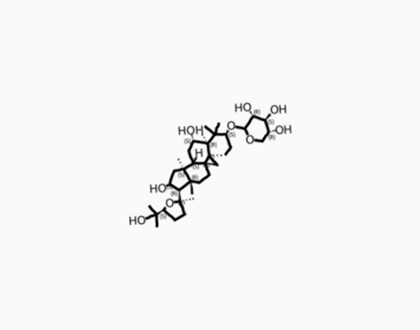 CC(C)(O)[C@@H]1CC[C@](C)([C@H]2[C@@H](O)C[C@@]3(C)[C@@H]4C[C@H](O)[C@H]5C(C)(C)[C@@H](OC6OC[C@@H](O)[C@H](O)[C@H]6O)CC[C@@]56C[C@@]46CC[C@]23C)O1